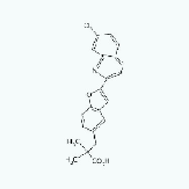 CC(C)(Cc1ccc2oc(-c3ccc4ccc(Cl)cc4n3)cc2c1)C(=O)O